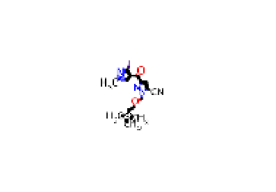 Cn1cc(C(=O)c2cc(C#N)n(COCC[Si](C)(C)C)n2)c(I)n1